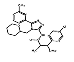 COc1cccc(-c2nnc(N[S+]([O-])C(C)C(OC)c3ncc(Cl)cn3)n2CC2CCCCO2)n1